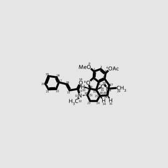 COc1cc(OC(C)=O)c2c3c1O[C@H]1[C@@H](N(C)C(=O)C=Cc4ccccc4)CC[C@H]4[C@@H](C2)N(C)CC[C@@]341